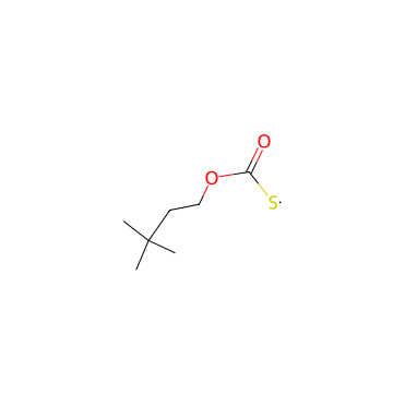 CC(C)(C)CCOC(=O)[S]